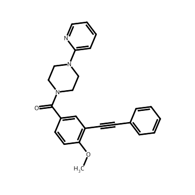 COc1ccc(C(=O)N2CCN(c3ccccn3)CC2)cc1C#Cc1ccccc1